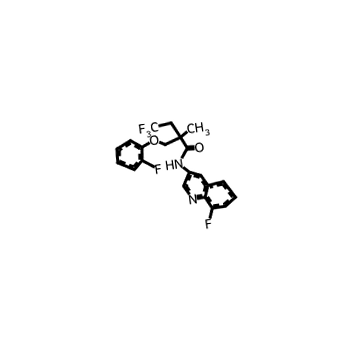 CC(COc1ccccc1F)(CC(F)(F)F)C(=O)Nc1cnc2c(F)cccc2c1